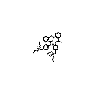 CCOP(=O)(Cc1ccc(NC(=O)c2ccccc2SSc2ccccc2C(=O)Nc2ccc(CP(=O)(OCC)OCC)cc2)cc1)OCC